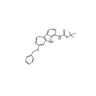 CC(C)(C)OC(=O)Nc1cccc2c3c([nH]c12)C=C(OCc1ccccc1)C=CC3